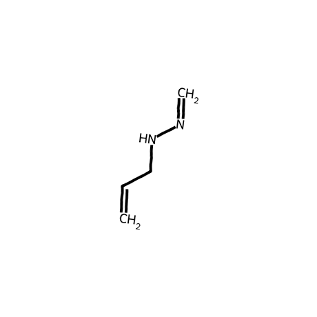 C=CCNN=C